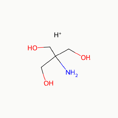 NC(CO)(CO)CO.[H+]